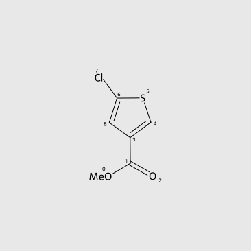 COC(=O)c1csc(Cl)c1